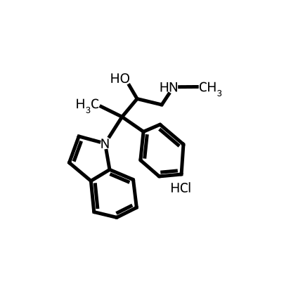 CNCC(O)C(C)(c1ccccc1)n1ccc2ccccc21.Cl